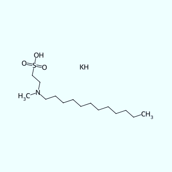 CCCCCCCCCCCCN(C)CCS(=O)(=O)O.[KH]